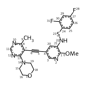 COc1ncc(C#Cc2c(C)ncnc2N2CCOCC2)cc1NSc1ccc(F)cc1F